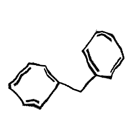 [c]1cccc(Cc2ccccc2)c1